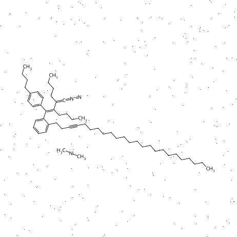 CCCCCCCCCCCCCCCCCCCCC#CCCc1ccccc1C(=C(CCCC)C(=C=[N+]=[N-])CCCC)c1ccc(CCCC)cc1.[CH3][Ni][CH3]